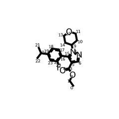 CCOC(=O)c1cnn(C2CCOCC2)c1-c1ccc(C(C)C)cc1F